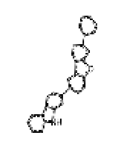 c1ccc(-c2ccc3c(c2)oc2ccc(-c4ccc5c(c4)[nH]c4ccccc45)cc23)cc1